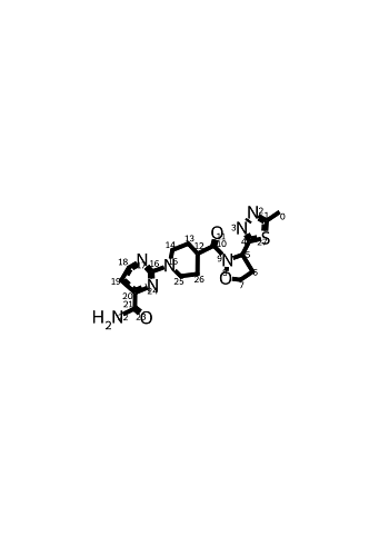 Cc1nnc(C2CCON2C(=O)C2CCN(c3nccc(C(N)=O)n3)CC2)s1